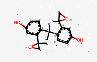 CC1(c2cc(O)ccc2C(C)(C)c2ccc(O)cc2C2(C)CO2)CO1